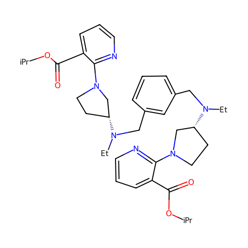 CCN(Cc1cccc(CN(CC)[C@@H]2CCN(c3ncccc3C(=O)OC(C)C)C2)c1)[C@@H]1CCN(c2ncccc2C(=O)OC(C)C)C1